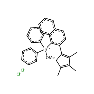 C[O][Ti+2]([c]1ccccc1)([c]1ccccc1)[c]1c(C2=C(C)C(C)=C(C)C2)ccc2ccccc12.[Cl-].[Cl-]